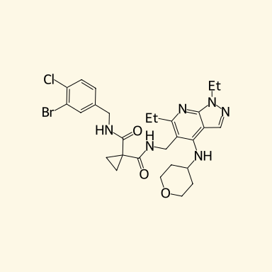 CCc1nc2c(cnn2CC)c(NC2CCOCC2)c1CNC(=O)C1(C(=O)NCc2ccc(Cl)c(Br)c2)CC1